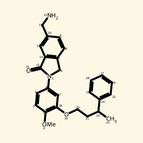 COc1ccc(N2Cc3ccc(CN)cc3C2=O)cc1OCCC(C)c1ccccc1